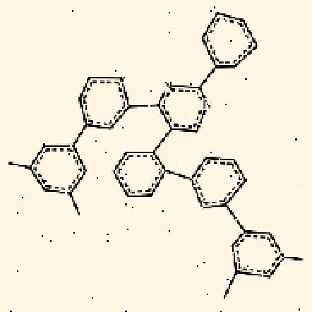 Cc1cc(C)cc(-c2cccc(-c3ccccc3-c3cnc(-c4ccccc4)nc3-c3cccc(-c4cc(C)cc(C)c4)c3)c2)c1